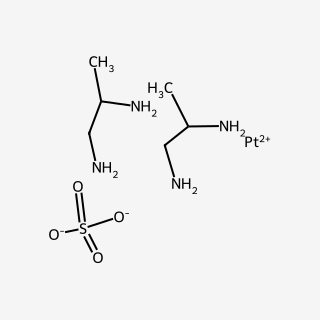 CC(N)CN.CC(N)CN.O=S(=O)([O-])[O-].[Pt+2]